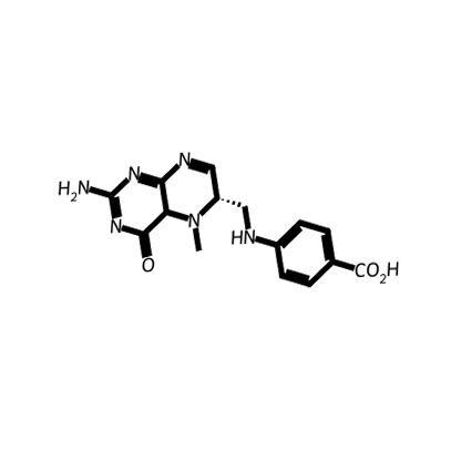 CN1C2C(=O)N=C(N)N=C2N=C[C@@H]1CNc1ccc(C(=O)O)cc1